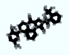 Cc1cnc(C)c(N2CCN(C(=O)C3CN(S(=O)(=O)c4ccccc4C(F)(F)F)C(=O)N3c3ccccc3)CC2)n1